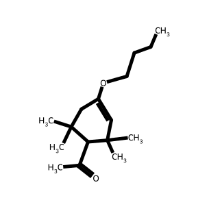 CCCCOC1=CC(C)(C)C(C(C)=O)C(C)(C)C1